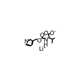 CC(C)[C@H](NC(=O)OCc1cccnc1)C(=O)[O-].[Li+]